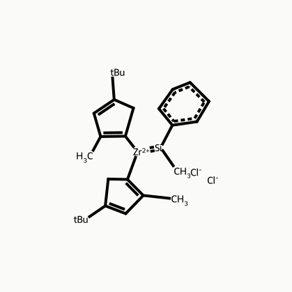 CC1=[C]([Zr+2]([C]2=C(C)C=C(C(C)(C)C)C2)=[Si](C)c2ccccc2)CC(C(C)(C)C)=C1.[Cl-].[Cl-]